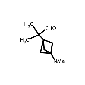 CNC12CC(C(C)(C)C=O)(C1)C2